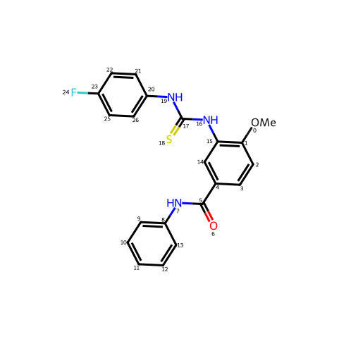 COc1ccc(C(=O)Nc2ccccc2)cc1NC(=S)Nc1ccc(F)cc1